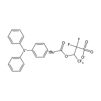 CC(C)(C)C(=O)OC(C(F)(F)F)C(F)(F)S(=O)(=O)[O-].c1ccc([S+](c2ccccc2)c2ccccc2)cc1